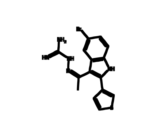 C/C(=N/NC(=N)N)c1c(-c2ccsc2)[nH]c2ccc(Br)cc12